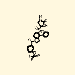 O=C1NCC(S(=O)(=O)c2ccc3c(c2-c2ccccc2)CCN3C(=O)c2cccc(OC(F)(F)F)c2)N1